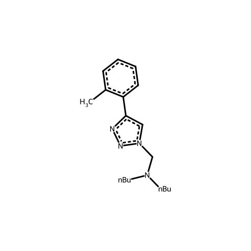 CCCCN(CCCC)Cn1cc(-c2ccccc2C)nn1